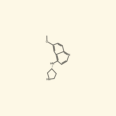 COc1ccc2nccc(N[C@@H]3CCNC3)c2c1